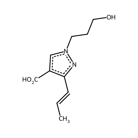 CC=Cc1nn(CCCO)cc1C(=O)O